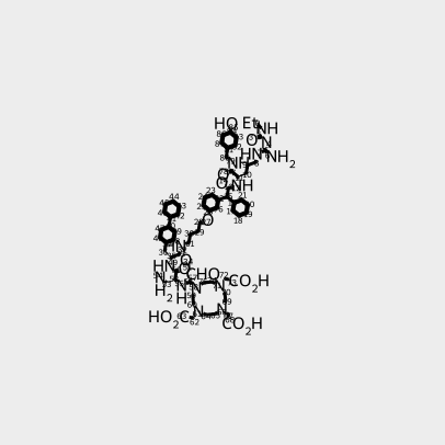 CCNC(=O)/N=C(/N)NCCC[C@@H](NC(=O)C(c1ccccc1)c1cccc(OCCCCNC(=O)[C@@H](Cc2ccc(-c3ccccc3)cc2)NC(=O)[C@@H](CN)NC(C=O)N2CCN(CC(=O)O)CCN(CC(=O)O)CCN(CC(=O)O)CC2)c1)C(=O)NCc1ccc(O)cc1